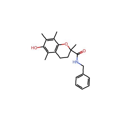 Cc1c(C)c2c(c(C)c1O)CCC(C)(C(=O)NCc1ccccc1)O2